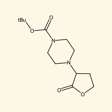 CC(C)(C)OC(=O)N1CCN(C2CCOC2=O)CC1